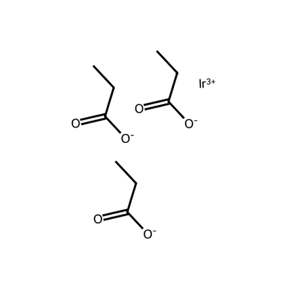 CCC(=O)[O-].CCC(=O)[O-].CCC(=O)[O-].[Ir+3]